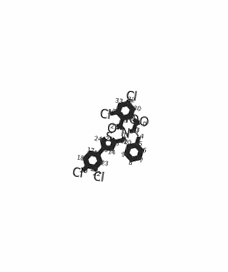 O=C(O)[C@H](Cc1ccccc1)N(Cc1cc(-c2ccc(Cl)c(Cl)c2)cs1)C(=O)c1ccc(Cl)cc1Cl